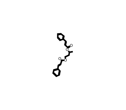 CC(CCOC(=O)C=Cc1ccccc1)OC(=O)C=Cc1ccccc1